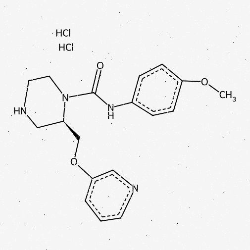 COc1ccc(NC(=O)N2CCNC[C@@H]2COc2cccnc2)cc1.Cl.Cl